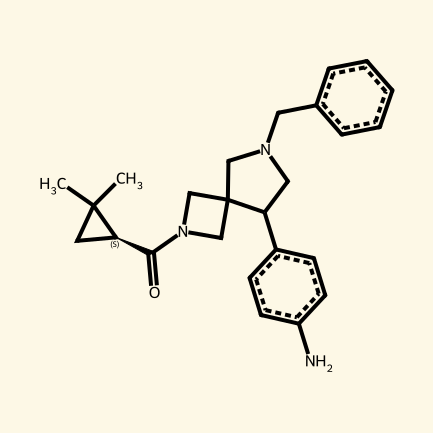 CC1(C)C[C@@H]1C(=O)N1CC2(CN(Cc3ccccc3)CC2c2ccc(N)cc2)C1